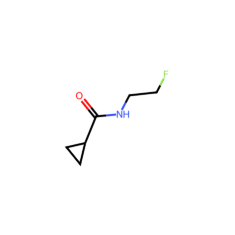 O=C(NCCF)C1CC1